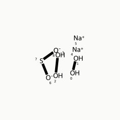 OO.OO.[Na+].[Na+].[O-]S[O-]